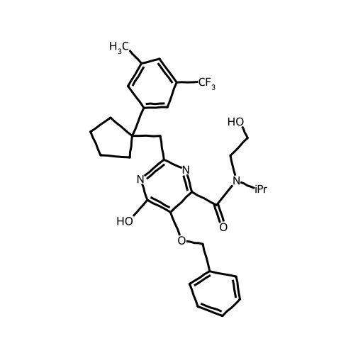 Cc1cc(C(F)(F)F)cc(C2(Cc3nc(O)c(OCc4ccccc4)c(C(=O)N(CCO)C(C)C)n3)CCCC2)c1